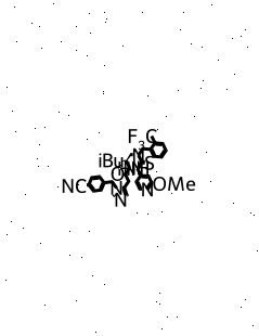 CC[C@H](C)[C@@H](CN(Cc1ccccc1C(F)(F)F)C(=S)Nc1ccnc(OC)c1)NC(=O)Cc1cncn1Cc1ccc(C#N)cc1